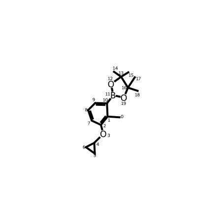 Cc1c(OC2CC2)cccc1B1OC(C)(C)C(C)(C)O1